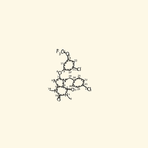 Cn1c(=O)c2c(nc(Oc3cc(Cl)cc(OC(F)(F)F)c3)n2Cc2ccc(Cl)cc2)n(C)c1=O